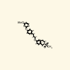 COc1ccnc(Oc2ccc(CCCOc3ccc4c(c3)CCN(S(C)(=O)=O)C4)cc2)n1